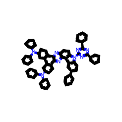 c1ccc(-c2ccc3c(c2)c2c4nc5c6ccc(N(c7ccccc7)c7ccccc7)cc6c6cc(N(c7ccccc7)c7ccccc7)ccc6c5nc4ccc2n3-c2nc(-c3ccccc3)nc(-c3ccccc3)n2)cc1